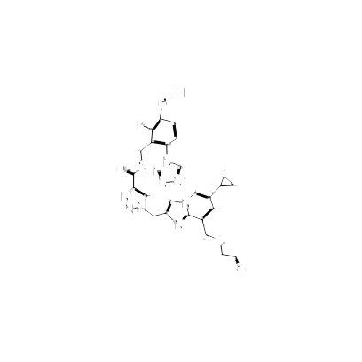 COc1ccc(-n2cnnn2)c(CNC(=O)c2cn(Cc3cn4cc(C5CC5)cc(COCC=O)c4n3)nn2)c1F